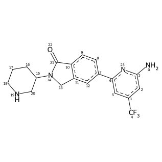 Nc1cc(C(F)(F)F)cc(-c2ccc3c(c2)CN(C2CCCNC2)C3=O)n1